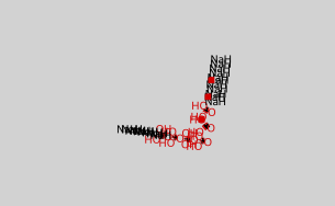 O=C(O)O.O=C(O)O.O=C(O)O.O=C(O)O.O=C(O)O.O=C(O)O.[NaH].[NaH].[NaH].[NaH].[NaH].[NaH].[NaH].[NaH].[NaH].[NaH].[NaH].[NaH].[NaH].[NaH].[NaH].[NaH].[NaH].[NaH].[NaH].[NaH]